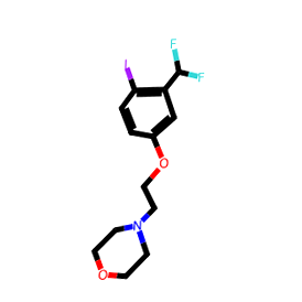 FC(F)c1cc(OCCN2CCOCC2)ccc1I